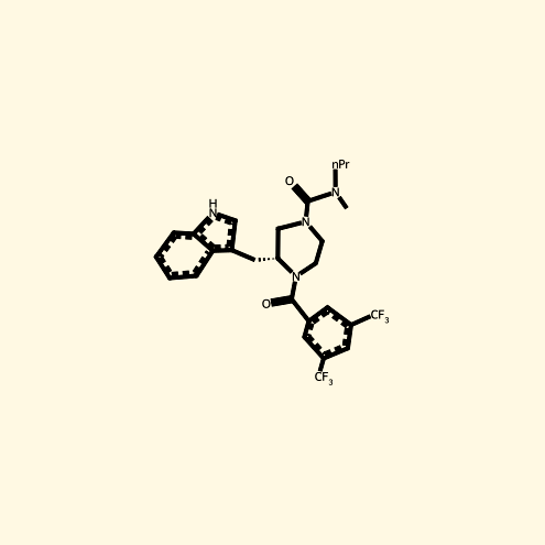 CCCN(C)C(=O)N1CCN(C(=O)c2cc(C(F)(F)F)cc(C(F)(F)F)c2)[C@H](Cc2c[nH]c3ccccc23)C1